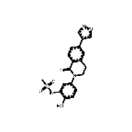 CS(=O)(=O)Nc1cc(N2CCc3cc(-c4cnoc4)ccc3C2=O)ccc1O